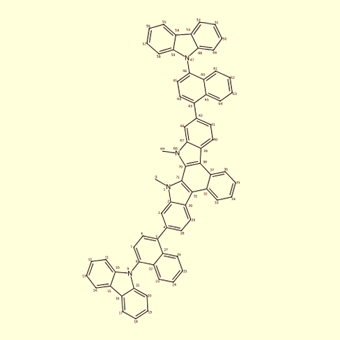 Cn1c2cc(-c3ccc(-n4c5ccccc5c5ccccc54)c4ccccc34)ccc2c2c3ccccc3c3c4ccc(-c5ccc(-n6c7ccccc7c7ccccc76)c6ccccc56)cc4n(C)c3c21